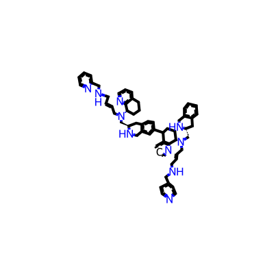 C(=C\CN(C[C@H]1Cc2ccccc2CN1)[C@H]1CCC(c2ccc3c(c2)CN[C@@H](CN(C/C=C/CNCc2ccccn2)[C@H]2CCCc4cccnc42)C3)c2cccnc21)/CNCc1ccncc1